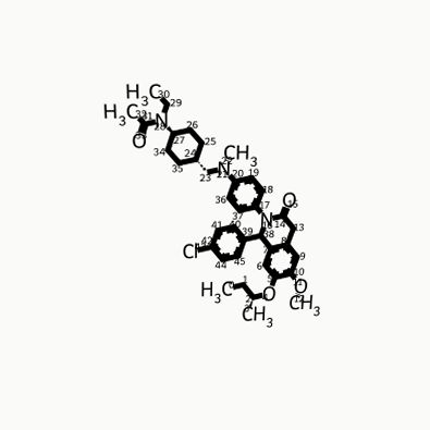 CC[C@@H](C)Oc1cc2c(cc1OC)CC(=O)N(c1ccc(N(C)C[C@H]3CC[C@H](N(CC)C(C)=O)CC3)cc1)C2c1ccc(Cl)cc1